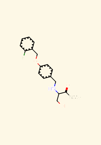 CNC(=O)C(CO)NCc1ccc(OCc2ccccc2F)cc1